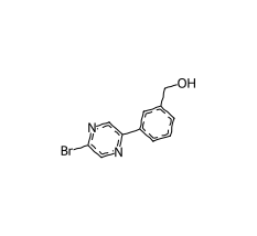 OCc1cccc(-c2cnc(Br)cn2)c1